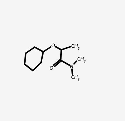 CC(OC1CCCCC1)C(=O)N(C)C